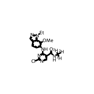 [2H]C([2H])([2H])NC(=O)c1cnc(Cl)nc1Nc1ccc2cnn(CC)c2c1OC